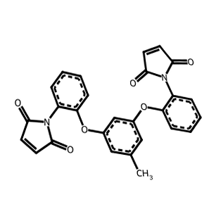 Cc1cc(Oc2ccccc2N2C(=O)C=CC2=O)cc(Oc2ccccc2N2C(=O)C=CC2=O)c1